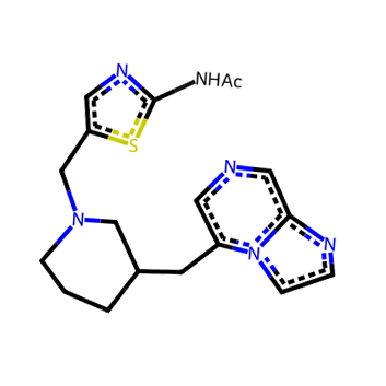 CC(=O)Nc1ncc(CN2CCCC(Cc3cncc4nccn34)C2)s1